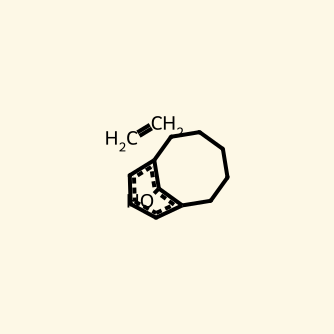 C=C.Oc1c2cccc1CCCCC2